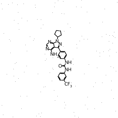 Nc1ncnc2c1c(-c1ccc(NC(=O)Nc3cccc(C(F)(F)F)c3)cc1)nn2C1CCCC1